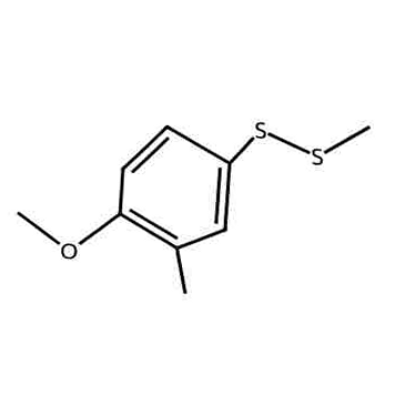 COc1ccc(SSC)cc1C